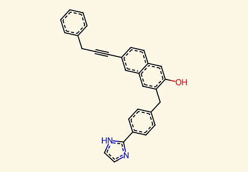 Oc1cc2ccc(C#CCc3ccccc3)cc2cc1Cc1ccc(-c2ncc[nH]2)cc1